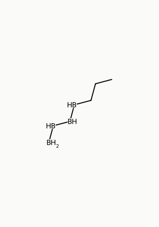 BBBBCCC